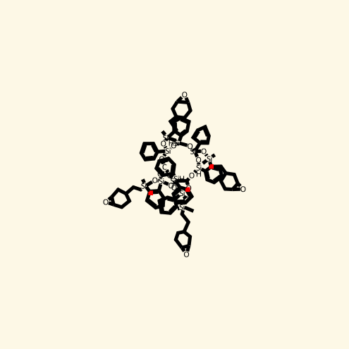 C[Si](C)(CCC1CCC2OC2C1)O[Si](O)(O[Si]1(c2ccccc2)OCO[Si](O[Si](C)(C)CCC2CCC3OC3C2)(c2ccccc2)O[SiH](c2ccccc2)O[Si](O[Si](C)(C)CCC2CCC3OC3C2)(c2ccccc2)O[SiH](c2ccccc2)OC1O[Si](O[SiH2]c1ccccc1)(O[Si](C)(C)CCC1CCC2OC2C1)c1ccccc1)c1ccccc1